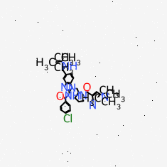 C[C@H](NCc1ccc2c(c1)nc(NC(=O)c1ccc(Cl)cc1)n2CC1CCCN1C(=O)C(C#N)=CC(C)(C)N(C)C)C(C)(C)C